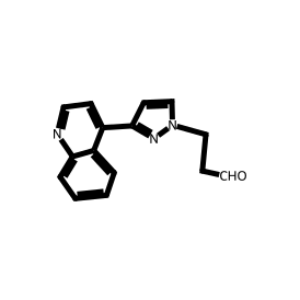 O=CCCn1ccc(-c2ccnc3ccccc23)n1